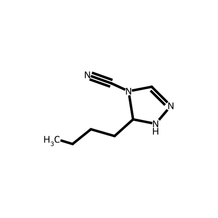 CCCCC1NN=CN1C#N